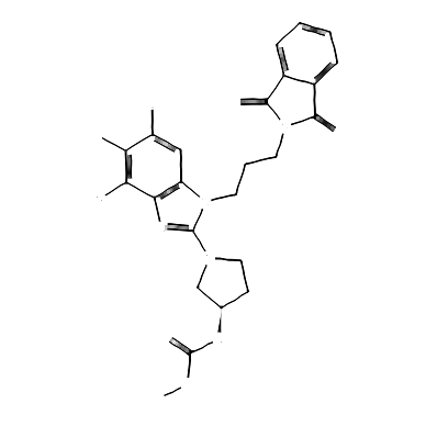 CC(C)(C)OC(=O)N[C@@H]1CCN(c2nc3c([N+](=O)[O-])c(Br)c(Br)cc3n2CCCN2C(=O)c3ccccc3C2=O)C1